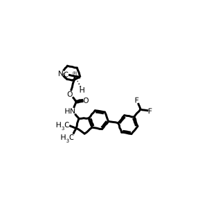 CC1(C)Cc2cc(-c3cccc(C(F)F)c3)ccc2C1NC(=O)O[C@H]1CN2CCC1CC2